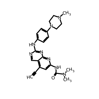 C#Cc1cc(NC(=O)N(C)C)nc2nc(Nc3ccc(N4CCN(C)CC4)cc3)ncc12